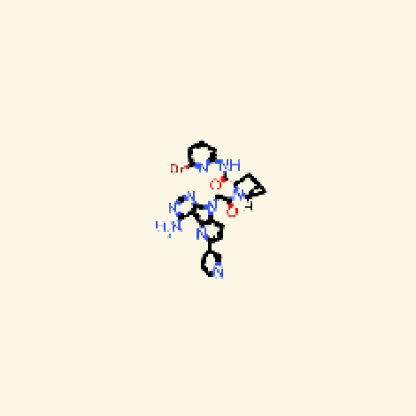 Nc1ncnc2c1c1nc(-c3cccnc3)ccc1n2CC(=O)N1[C@@H]2CC2C[C@H]1C(=O)Nc1cccc(Br)n1